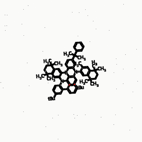 Cc1cc2c(cc1N1c3cc(C(C)(C)c4ccccc4)ccc3B3c4cc5c(cc4N(c4ccc(C(C)(C)C)cc4-c4ccccc4)c4cc(C(C)(C)C)cc1c43)C(C)(C)CCC5(C)C)C(C)(C)CCC2(C)C